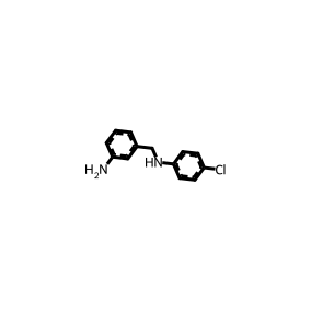 Nc1cccc(CNc2ccc(Cl)cc2)c1